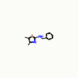 Cc1nc(NCc2ccccc2)sc1C